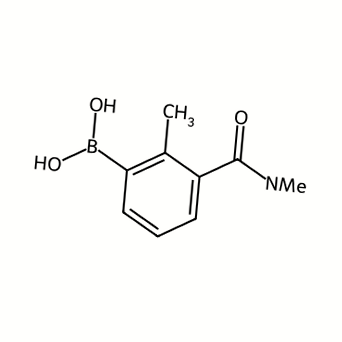 CNC(=O)c1cccc(B(O)O)c1C